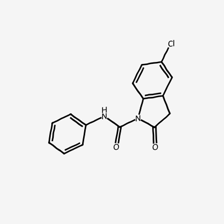 O=C1Cc2cc(Cl)ccc2N1C(=O)Nc1ccccc1